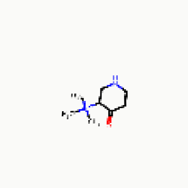 C[N+](C)(C)C1CNCCC1=O